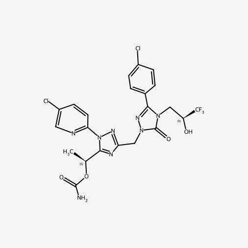 C[C@H](OC(N)=O)c1nc(Cn2nc(-c3ccc(Cl)cc3)n(C[C@H](O)C(F)(F)F)c2=O)nn1-c1ccc(Cl)cn1